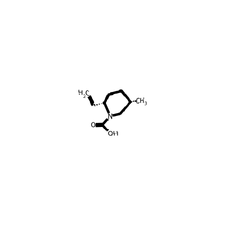 C=C[C@@H]1CC[C@H](C)CN1C(=O)O